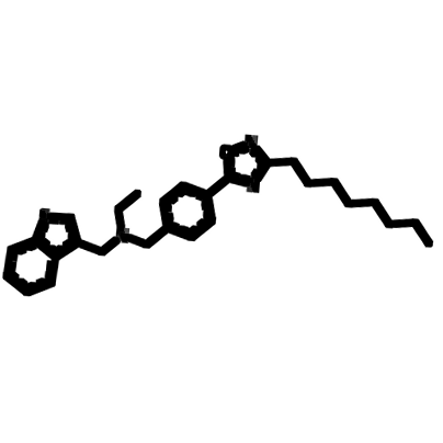 CCCCCCCCc1noc(-c2ccc(CN(CC)Cc3csc4ccccc34)cc2)n1